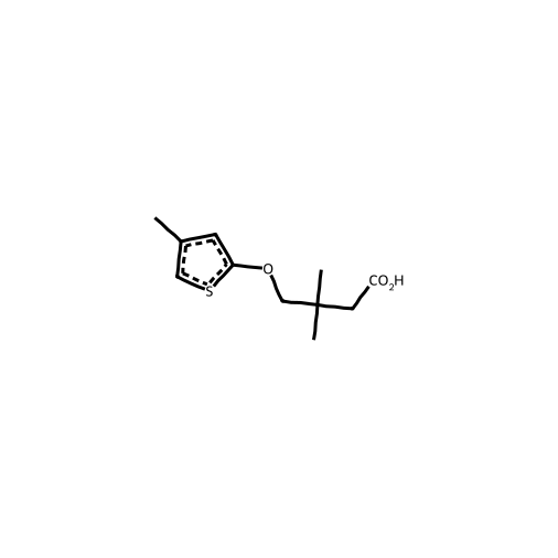 Cc1csc(OCC(C)(C)CC(=O)O)c1